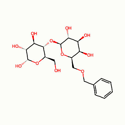 OC[C@H]1O[C@H](O)[C@H](O)[C@@H](O)[C@@H]1O[C@@H]1O[C@H](COCc2ccccc2)[C@H](O)[C@H](O)[C@H]1O